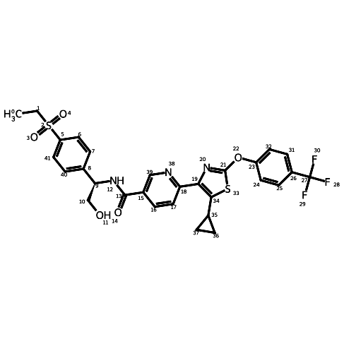 CCS(=O)(=O)c1ccc([C@H](CO)NC(=O)c2ccc(-c3nc(Oc4ccc(C(F)(F)F)cc4)sc3C3CC3)nc2)cc1